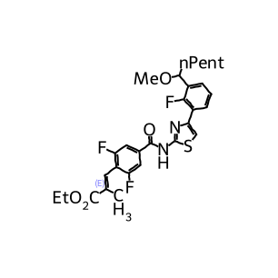 CCCCCC(OC)c1cccc(-c2csc(NC(=O)c3cc(F)c(/C=C(\C)C(=O)OCC)c(F)c3)n2)c1F